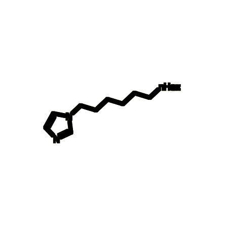 CCCCCCCCCCCCn1ccnc1